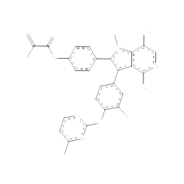 C=C(C)C(=O)Nc1ccc(-c2c(-c3ccc(Oc4nccc(C)n4)c(F)c3)c3c(N)ncc(C#N)c3n2C)cc1